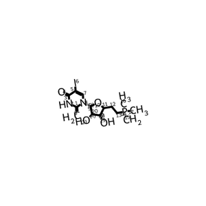 C=C1NC(=O)C(I)=CN1[C@@H]1OC(CCP(=C)(C)C)[C@@H](O)[C@H]1O